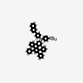 CC(C)(C)c1ccc(N(c2ccc(-c3ccc4ccccc4c3)cc2)C2C=Cc3c(c4ccccc4c4c(C5=CC=CCC5)cc(-c5ccccc5)c(-c5ccccc5)c34)C2)cc1